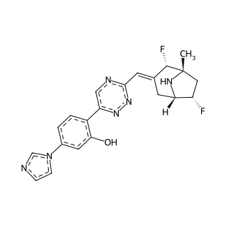 C[C@]12C[C@H](F)[C@H](C/C(=C\c3ncc(-c4ccc(-n5ccnc5)cc4O)nn3)[C@@H]1F)N2